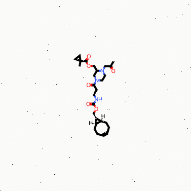 CC(=O)CN1CCN(C(=O)CCNC(=O)OC[C@@H]2[C@@H]3CCC#CCC[C@@H]32)CC1COC(=O)C1(C)CC1